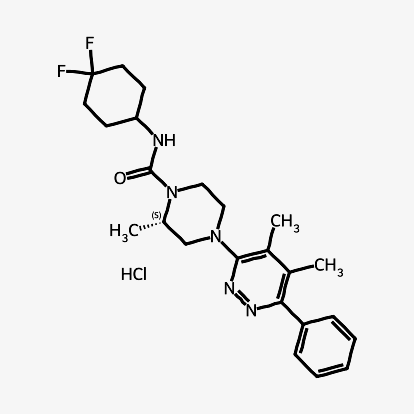 Cc1c(-c2ccccc2)nnc(N2CCN(C(=O)NC3CCC(F)(F)CC3)[C@@H](C)C2)c1C.Cl